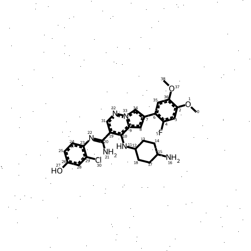 COc1cc(F)c(-c2cc3c(NC4CCC(N)CC4)c(/C(N)=N/c4ccc(O)cc4Cl)cnn3c2)cc1OC